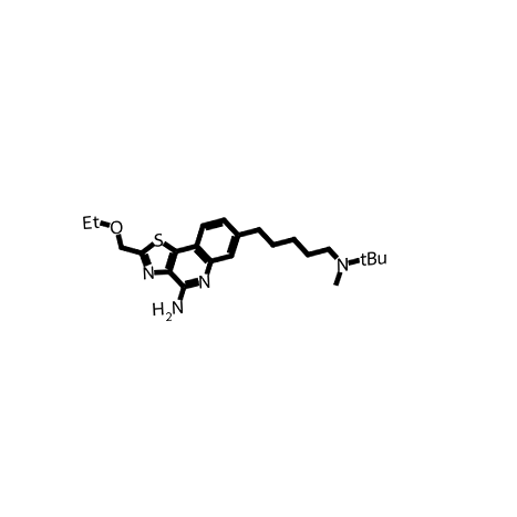 CCOCc1nc2c(N)nc3cc(CCCCCN(C)C(C)(C)C)ccc3c2s1